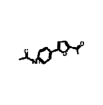 CC(=O)Nc1ccc(-c2ccc(C(C)=O)o2)cc1